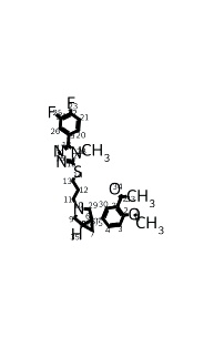 COc1ccc([C@]23C[C@H]2CN(CCCSc2nnc(-c4ccc(F)c(F)c4)n2C)C3)cc1C(C)=O